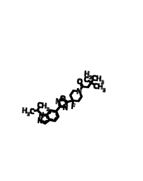 CC(C)n1ncc2ccc(-c3noc(C4(F)CCN(C(=O)CC(C)(C)C)CC4)n3)cc21